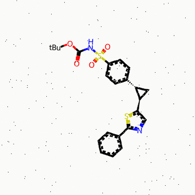 CC(C)(C)OC(=O)NS(=O)(=O)c1ccc([C@@H]2C[C@H]2c2cnc(-c3ccccc3)s2)cc1